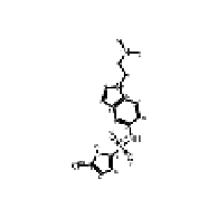 CN(C)CCn1ccc2cc(NS(=O)(=O)c3ccc(Cl)s3)ccc21